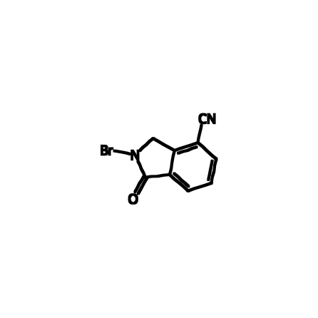 N#Cc1cccc2c1CN(Br)C2=O